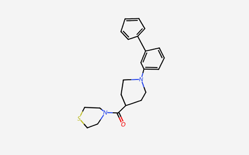 O=C(C1CCN(c2cccc(-c3ccccc3)c2)CC1)N1CCSCC1